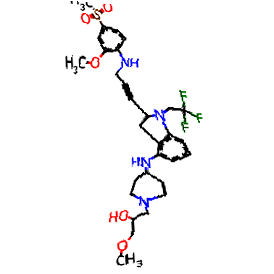 COCC(O)CN1CCC(Nc2cccc3c2CC(C#CCNc2ccc(S(C)(=O)=O)cc2OC)N3CC(F)(F)F)CC1